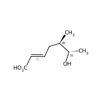 C[C@H](O)[C@H](C)C/C=C/C(=O)O